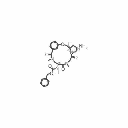 CN1C[C@H](NC(=O)OCc2ccccc2)C(=O)N(C)CC(=O)N2C[C@@H](N)C[C@H]2COc2cccc(c2)C1=O